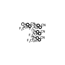 C[C@H]([C@@H](O)C(F)(F)F)N(C)c1ccc2c(C#N)cccc2c1.C[C@H]([C@H](O)C(F)(F)F)N(C)c1ccc2c(C#N)cccc2c1.N#Cc1cccc2cc(N3CCCC[C@@H]3[C@@H](O)C(F)(F)F)ccc12.N#Cc1cccc2cc(N3CC[C@H]3[C@H](O)C(F)(F)F)ccc12